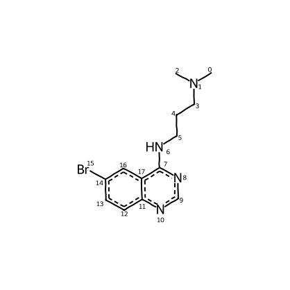 CN(C)CCCNc1ncnc2ccc(Br)cc12